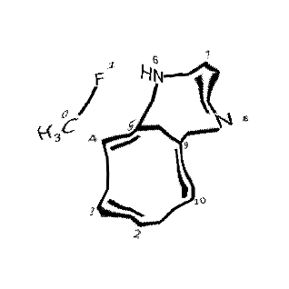 CF.c1ccc2[nH]cnc2c1